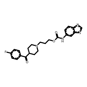 O=C(Nc1ccc2ncsc2c1)OCCCN1CCC(C(=O)c2ccc(F)cc2)CC1